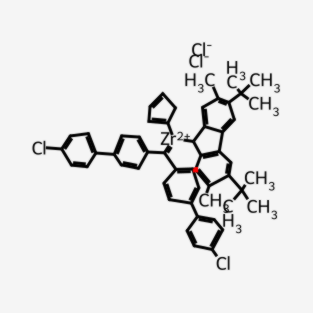 Cc1cc2c(cc1C(C)(C)C)-c1cc(C(C)(C)C)c(C)cc1[CH]2[Zr+2]([C]1=CC=CC1)=[C](c1ccc(-c2ccc(Cl)cc2)cc1)c1ccc(-c2ccc(Cl)cc2)cc1.[Cl-].[Cl-]